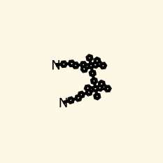 N#Cc1ccc(-c2ccc3cc(-c4ccc5c6c(-c7ccccc7)c7cc8c9ccccc9c9cccc(c7c(-c7ccc(-c%10ccc(-c%11c%12cc%13c%14ccccc%14c%14cccc(c%12c(-c%12ccccc%12)c%12c%15ccc(-c%16ccc%17cc(-c%18ccc(C#N)cc%18)ccc%17c%16)c%16cccc(c%11%12)c%16%15)c%14%13)cc%10)cc7)c6c6cccc4c56)c98)ccc3c2)cc1